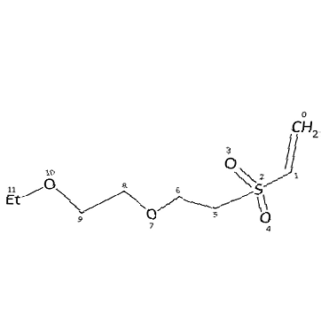 C=CS(=O)(=O)CCOCCOCC